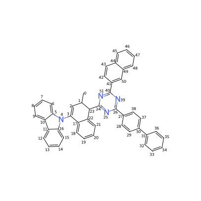 CC1C=C(n2c3ccccc3c3ccccc32)c2ccccc2C1c1nc(-c2ccc(-c3ccccc3)cc2)nc(-c2ccc3ccccc3c2)n1